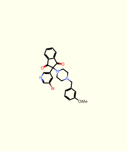 COc1cccc(CN2CCN(C3(c4cncc(Br)c4)C(=O)c4ccccc4C3=O)CC2)c1